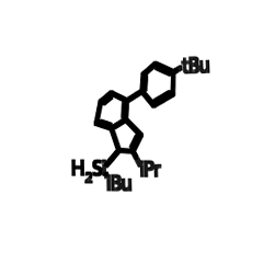 CCC(C)[SiH2]C1C(C(C)C)=Cc2c(-c3ccc(C(C)(C)C)cc3)cccc21